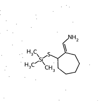 C[Si](C)(C)SC1CCCCCC1=CN